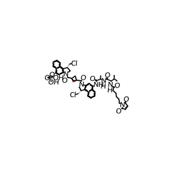 CC(NC(=O)[C@@H](NC(=O)CCCCCN1C(=O)C=CC1=O)C(C)C)C(=O)Nc1cc2c(c3ccccc13)[C@H](CCl)CN2C(=O)C12CC(C(=O)N3C[C@@H](CCl)c4c3cc(OP(=O)(O)O)c3ccccc43)(C1)C2